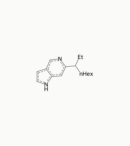 CCCCCCC(CC)c1cc2[nH]ccc2cn1